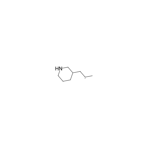 C[CH]CC1CCCNC1